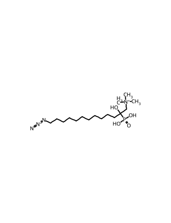 C[N+](C)(C)CC(O)(CCCCCCCCCCCN=[N+]=[N-])P(=O)(O)O